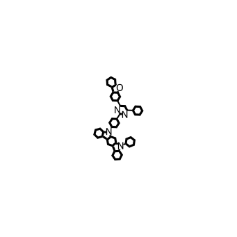 c1ccc(-c2cc(-c3ccc4c(c3)oc3ccccc34)nc(-c3ccc(-n4c5ccccc5c5cc6c7ccccc7n(-c7ccccc7)c6cc54)cc3)n2)cc1